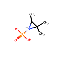 CC1[N@](P(=O)(O)O)C1(C)C